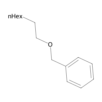 [CH2]CCCCCCCOCc1ccccc1